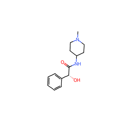 CN1CCC(NC(=O)[C@H](O)c2ccccc2)CC1